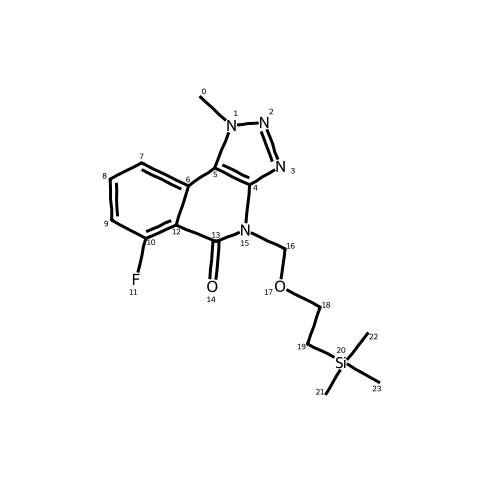 Cn1nnc2c1c1cccc(F)c1c(=O)n2COCC[Si](C)(C)C